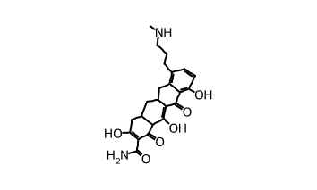 CNCCCc1ccc(O)c2c1CC1CC3CC(O)=C(C(N)=O)C(=O)C3C(O)=C1C2=O